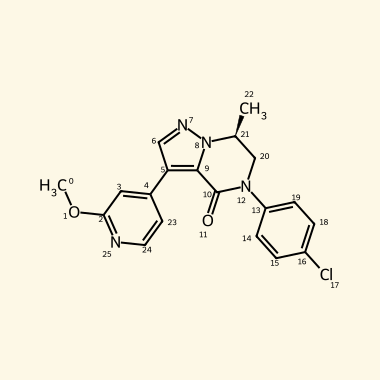 COc1cc(-c2cnn3c2C(=O)N(c2ccc(Cl)cc2)C[C@@H]3C)ccn1